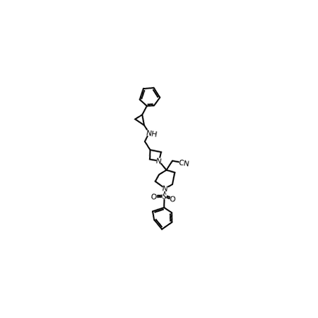 N#CCC1(N2CC(CNC3CC3c3ccccc3)C2)CCN(S(=O)(=O)c2ccccc2)CC1